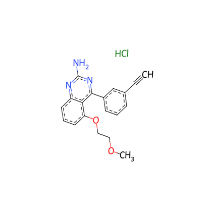 C#Cc1cccc(-c2nc(N)nc3cccc(OCCOC)c23)c1.Cl